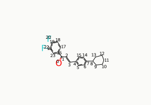 O=C(/C=C/c1ccc(C2CCCCC2)cc1)c1ccc(F)c(F)c1